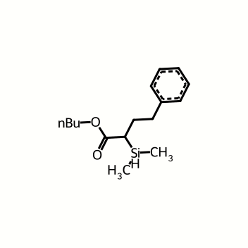 CCCCOC(=O)C(CCc1ccccc1)[SiH](C)C